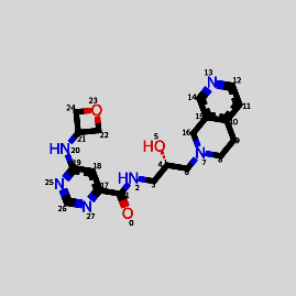 O=C(NC[C@H](O)CN1CCc2ccncc2C1)c1cc(NC2COC2)ncn1